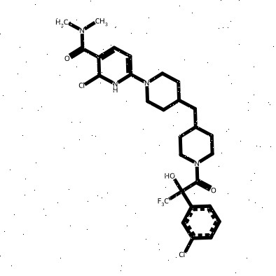 CN(C)C(=O)C1=CC=C(N2CCC(CC3CCN(C(=O)C(O)(c4cccc(Cl)c4)C(F)(F)F)CC3)CC2)NC1Cl